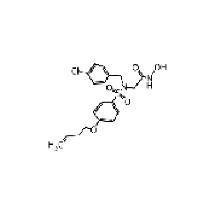 C=CCCOc1ccc(S(=O)(=O)N(CC(=O)NO)Cc2ccc(Cl)cc2)cc1